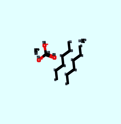 CCCCCC.CCCCCC.O=C([O-])[O-].[K+].[K+]